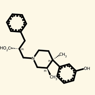 C[C@H]1CN(C[C@@H](Cc2ccccc2)C(=O)O)CC[C@@]1(C)c1cccc(O)c1